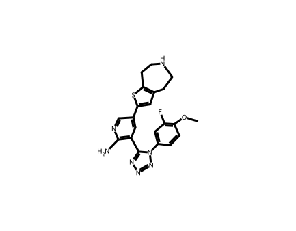 COc1ccc(-n2nnnc2-c2cc(-c3cc4c(s3)CCNCC4)cnc2N)cc1F